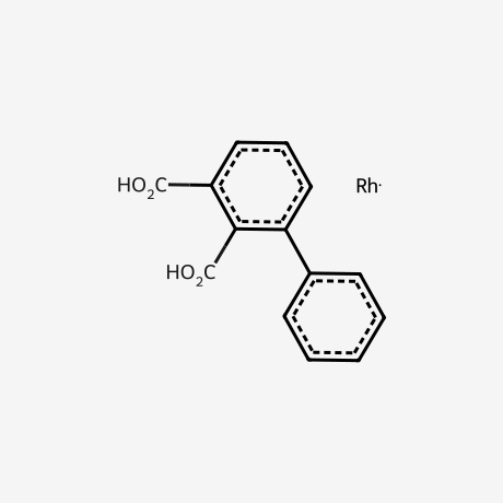 O=C(O)c1cccc(-c2ccccc2)c1C(=O)O.[Rh]